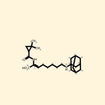 CC1(C)CC1C(=O)N/C(=C\CCCCCNC12CC3CC(CC(C3)C1)C2)C(=O)O